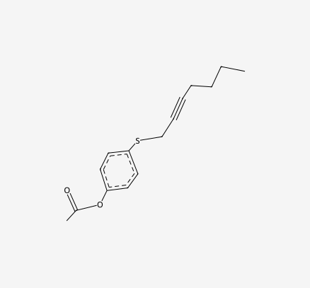 CCCCC#CCSc1ccc(OC(C)=O)cc1